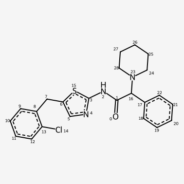 O=C(Nc1ncc(Cc2ccccc2Cl)s1)C(c1ccccc1)N1CCCCC1